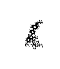 CC(Nc1c(C#N)c(-c2ccc(-c3ccc(CC#N)cc3)cc2)nc2ccc(F)cc12)C(=O)O